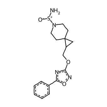 N[S+]([O-])N1CCC2(CC1)CC2COc1noc(-c2ccccc2)n1